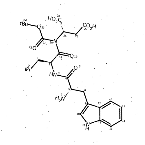 CC(C)C[C@H](NC(=O)[C@@H](N)Cc1c[nH]c2ccccc12)C(=O)N(C(=O)OC(C)(C)C)[C@@H](CC(=O)O)C(=O)O